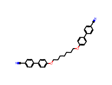 N#Cc1ccc(-c2ccc(OCCCCCCCOc3ccc(-c4ccc(C#N)cc4)cc3)cc2)cc1